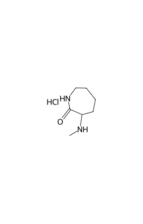 CNC1CCCCNC1=O.Cl